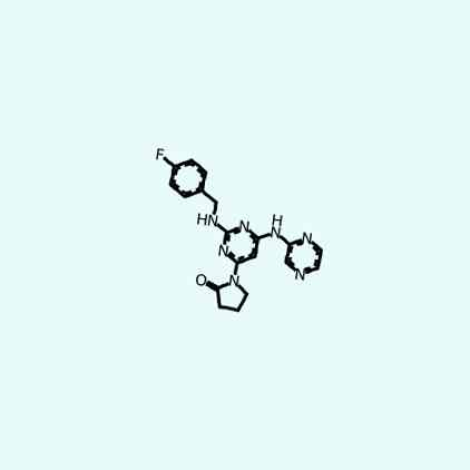 O=C1CCCN1c1cc(Nc2cnccn2)nc(NCc2ccc(F)cc2)n1